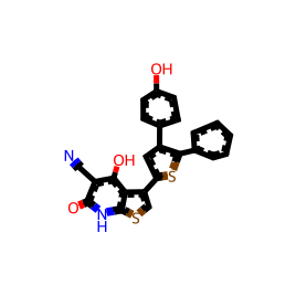 N#Cc1c(O)c2c(-c3cc(-c4ccc(O)cc4)c(-c4ccccc4)s3)csc2[nH]c1=O